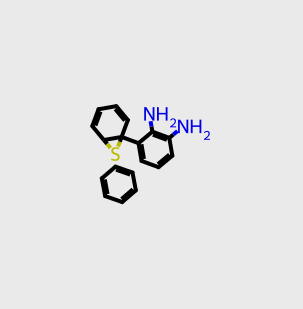 Nc1cccc(C23C=CC=CC2S3)c1N.c1ccccc1